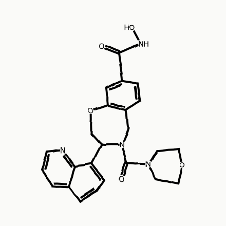 O=C(NO)c1ccc2c(c1)OCC(c1cccc3cccnc13)N(C(=O)N1CCOCC1)C2